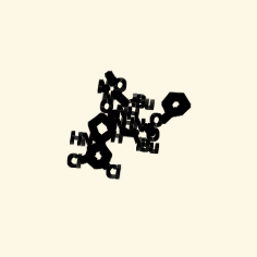 CCC(C)[C@H](NC(=O)[C@@]1(NC[C@@H](NC(=O)OCc2ccccc2)C(C)CC)CCc2[nH]c3c(Cl)cc(Cl)cc3c2C1)c1nnc(C)o1